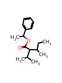 CCC(C)C(C(=O)OC(C)c1ccccc1)C(C)C